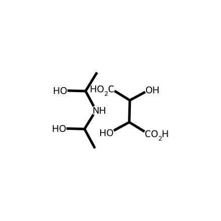 CC(O)NC(C)O.O=C(O)C(O)C(O)C(=O)O